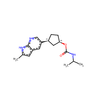 Cc1cc2cc([C@H]3CC[C@@H](OC(=O)NC(C)C)C3)cnc2[nH]1